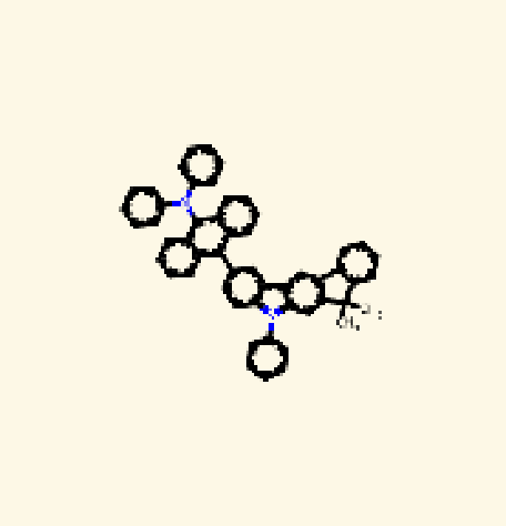 CC1(C)c2ccccc2-c2cc3c4cc(-c5c6ccccc6c(N(c6ccccc6)c6ccccc6)c6ccccc56)ccc4n(-c4ccccc4)c3cc21